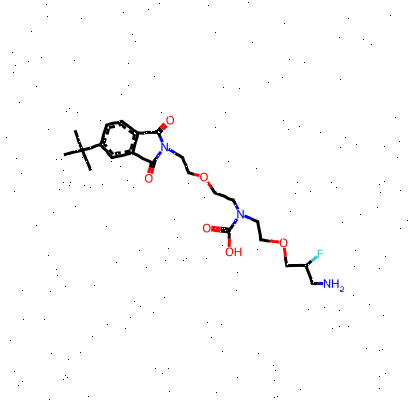 CC(C)(C)c1ccc2c(c1)C(=O)N(CCOCCN(CCOCC(F)CN)C(=O)O)C2=O